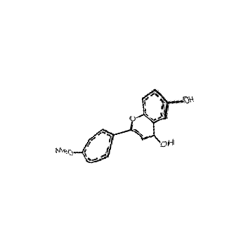 COc1ccc(C2=CC(O)c3cc(O)ccc3O2)cc1